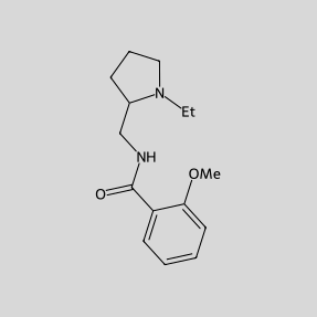 CCN1CCCC1CNC(=O)c1ccccc1OC